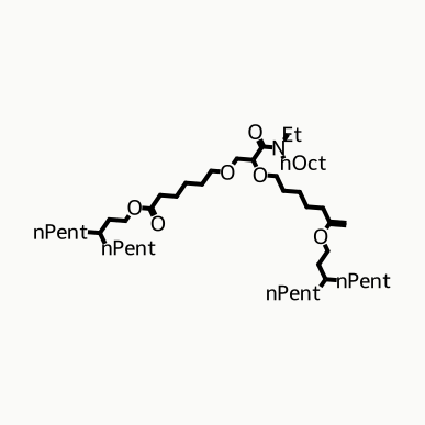 C=C(CCCCCOC(COCCCCCC(=O)OCCC(CCCCC)CCCCC)C(=O)N(CC)CCCCCCCC)OCCC(CCCCC)CCCCC